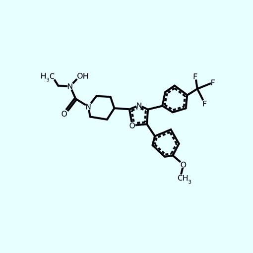 CCN(O)C(=O)N1CCC(c2nc(-c3ccc(C(F)(F)F)cc3)c(-c3ccc(OC)cc3)o2)CC1